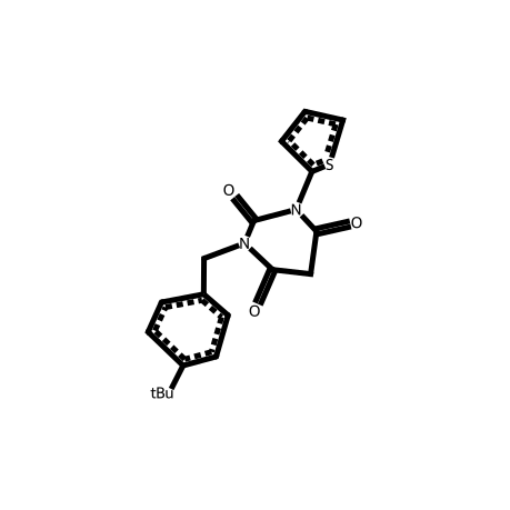 CC(C)(C)c1ccc(CN2C(=O)CC(=O)N(c3cccs3)C2=O)cc1